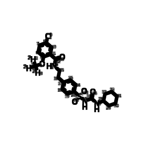 [2H]C([2H])([2H])Oc1ccc(Cl)cc1C(=O)NCCc1ccc(S(=O)(=O)NC(=O)NC2CCCCC2)cc1